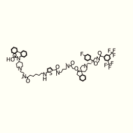 CN(CCN1CCC(N(C(=O)O)c2ccccc2-c2ccccc2)CC1)C(=O)CCCCCNc1ccc(C(=O)N(C)CCCN(C)C(=O)CO[C@H]2Cc3ccccc3C23CCN(CC[C@]2(c4ccc(F)cc4)CN(C(=O)c4cc(C(F)(F)F)cc(C(F)(F)F)c4)CO2)CC3)s1